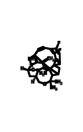 BC1(B)OC[C@H]2C[C@H]3CN2/C(C=C)=C2\C1C1CC24c2cc(F)c(c(F)c24)C#CC2=NN3C(=N)/C2=C\1N